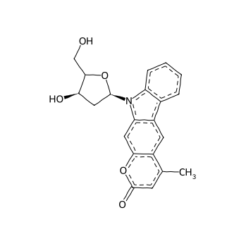 Cc1cc(=O)oc2cc3c(cc12)c1ccccc1n3[C@H]1C[C@@H](O)C(CO)O1